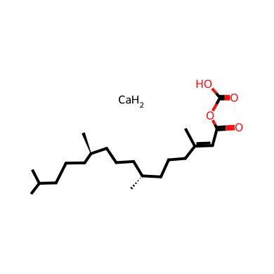 C/C(=C\C(=O)OC(=O)O)CCC[C@H](C)CCC[C@H](C)CCCC(C)C.[CaH2]